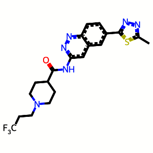 Cc1nnc(-c2ccc3nnc(NC(=O)C4CCN(CCC(F)(F)F)CC4)cc3c2)s1